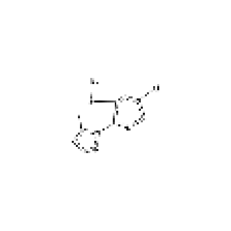 CCSc1cc(Cl)cnc1-c1nccn1C